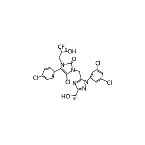 C[C@H](O)c1nc(Cn2c(Cl)c(-c3ccc(Cl)cc3)n(CC(O)C(F)(F)F)c2=O)n(-c2cc(Cl)cc(Cl)c2)n1